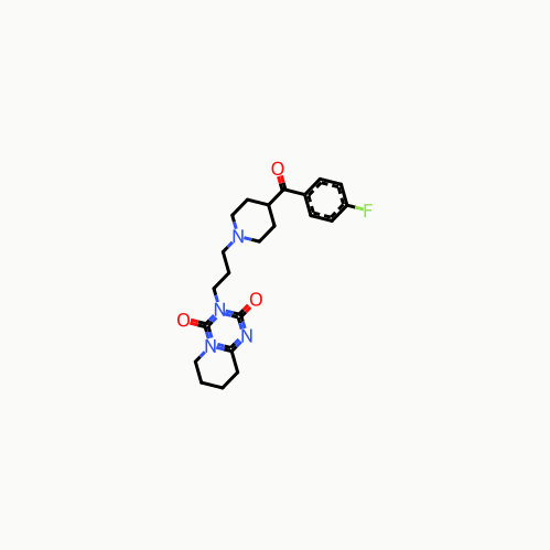 O=C(c1ccc(F)cc1)C1CCN(CCCn2c(=O)nc3n(c2=O)CCCC3)CC1